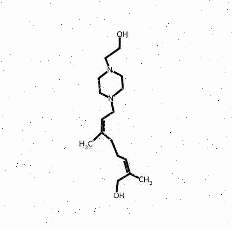 CC(=CCCC(C)=CCN1CCN(CCO)CC1)CO